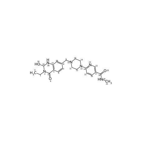 CCN1C(=O)c2ccc(CN3CCN(c4ccc(C(=O)NC)cn4)CC3)cc2NC1O